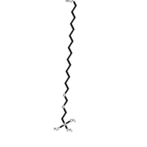 C[Si](C)(C)CCOCOCCCCCCCCCCCCCCCC(=O)O